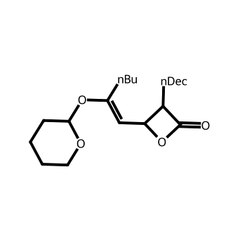 CCCCCCCCCCC1C(=O)OC1C=C(CCCC)OC1CCCCO1